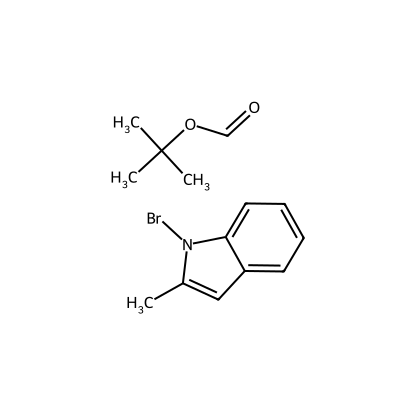 CC(C)(C)OC=O.Cc1cc2ccccc2n1Br